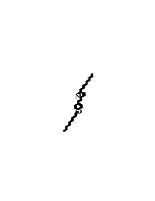 CCCCCCCCCOc1ccc(CCc2ccc(CCCCCCCCC)cn2)cc1